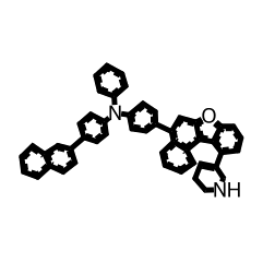 C1=C(c2cccc3oc4cc(-c5ccc(N(c6ccccc6)c6ccc(-c7ccc8ccccc8c7)cc6)cc5)c5ccccc5c4c23)CNCC1